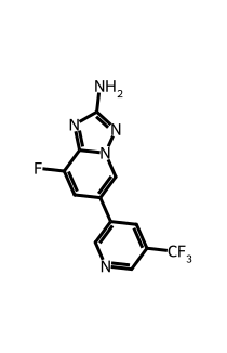 Nc1nc2c(F)cc(-c3cncc(C(F)(F)F)c3)cn2n1